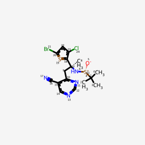 CC(C)(C)[S@@+]([O-])N[C@@](C)(Cc1ncncc1C#N)c1sc(Br)cc1Cl